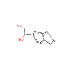 OC(CBr)c1ccc2ccccc2c1